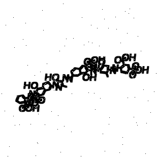 COc1cc(/N=N/c2ccc(S(=O)(=O)O)cc2C(=O)O)c(C)cc1/N=N/c1c(S(=O)(=O)O)cc2ccc(/N=N/c3c(C)nn(-c4ccc5c(O)c(/N=N/c6ccccc6S(=O)(=O)O)c(S(=O)(=O)O)cc5c4)c3O)cc2c1O